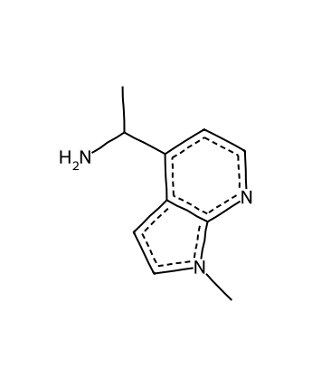 CC(N)c1ccnc2c1ccn2C